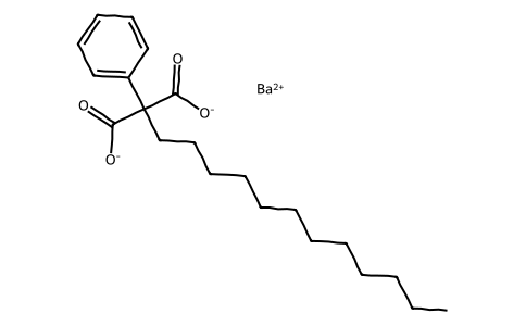 CCCCCCCCCCCCC(C(=O)[O-])(C(=O)[O-])c1ccccc1.[Ba+2]